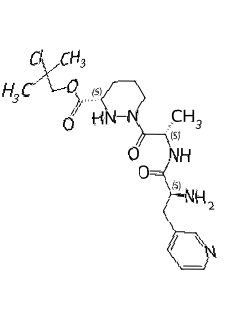 C[C@H](NC(=O)[C@@H](N)Cc1cccnc1)C(=O)N1CCC[C@@H](C(=O)OCC(C)(C)Cl)N1